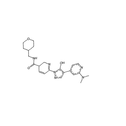 CN(C)c1cc(-c2cnn(C3=NCC(C(=O)NCC4CCOCC4)C=C3)c2O)ccn1